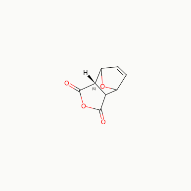 O=C1OC(=O)[C@@H]2C3C=CC(O3)C12